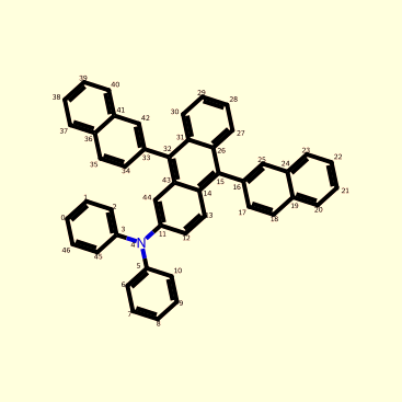 c1ccc(N(c2ccccc2)c2ccc3c(-c4ccc5ccccc5c4)c4ccccc4c(-c4ccc5ccccc5c4)c3c2)cc1